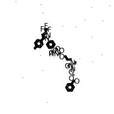 Cc1ccc(-c2cc(C(F)(F)F)nn2-c2ccc(S(=O)(=O)NC(=O)OCCCN(C)/[N+]([O-])=N/OCOC(=O)c3ccccc3)cc2)cc1